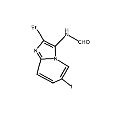 CCc1nc2ccc(I)cn2c1NC=O